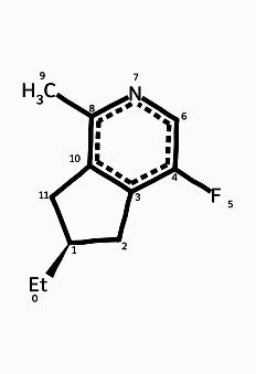 CC[C@@H]1Cc2c(F)cnc(C)c2C1